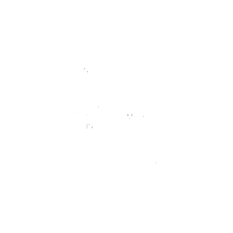 COc1ccc(Cl)cc1-c1ccc(NC(=O)Oc2ccncc2C)cc1